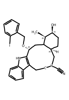 C[C@@H]1C2C[C@@H](OCc3ccccc3I)c3[nH]c4ccccc4c3CCN(C#N)C[C@@H]2CC[C@@H]1O